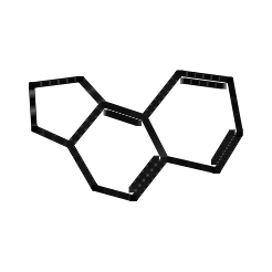 C1=c2ccccc2=C2CCCC2C1